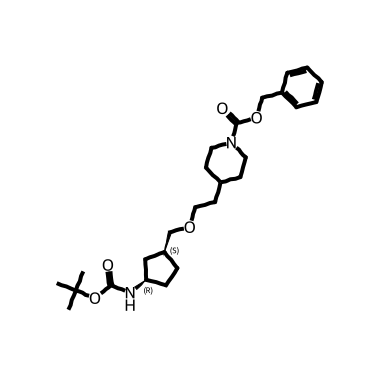 CC(C)(C)OC(=O)N[C@@H]1CC[C@H](COCCC2CCN(C(=O)OCc3ccccc3)CC2)C1